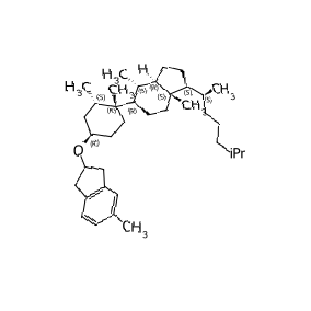 Cc1ccc2c(c1)CC(O[C@@H]1CC[C@@](C)([C@@H]3CC[C@]4(C)[C@H](CC[C@H]4[C@@H](C)CCCC(C)C)[C@H]3C)[C@@H](C)C1)C2